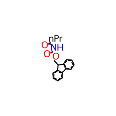 CCCC(=O)NC(=O)OCC1c2ccccc2-c2ccccc21